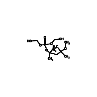 COC(C)(C)CC(C)(C)OP(=O)(OCO)OCO